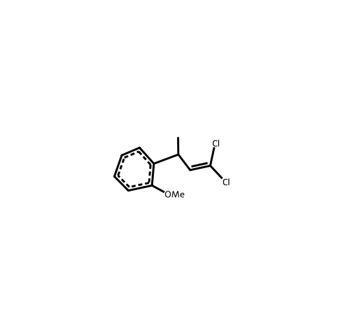 COc1ccccc1C(C)C=C(Cl)Cl